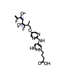 C=C(F)/C(=C\C(OC)=C(\F)C(C)COc1cnc(N/C(C=N)=C/NCCCC(=O)O)nc1)OC